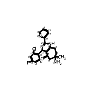 CC1(N)CCC2=C(C(=O)C1)C(c1ccc(F)cc1Cl)N=C(c1ccccn1)N2